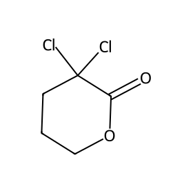 O=C1OCCCC1(Cl)Cl